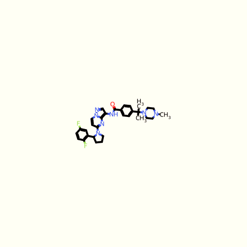 CN1CCN(C(C)(C)c2ccc(C(=O)Nc3cnn4ccc(N5CCCC5c5cc(F)ccc5F)nc34)cc2)CC1